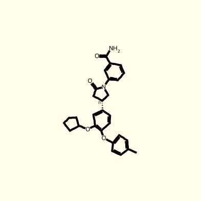 Cc1ccc(Oc2ccc([C@@H]3CC(=O)N(c4cccc(C(N)=O)c4)C3)cc2OC2CCCC2)cc1